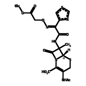 CC(=O)NC1=C(C(=O)O)N2C(=O)C(C)(NC(=O)C(=NOCC(=O)OC(C)(C)C)c3cscn3)[C@@H]2SC1